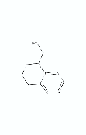 CC(C)CC1CCCc2ccccc21